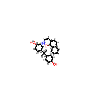 C1=Cc2ccc3ccccc3c2ON1.CC(C)(c1ccc(O)cc1)c1ccc(O)cc1